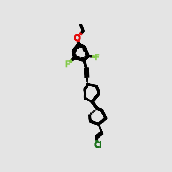 CCOc1cc(F)c(C#C[C@H]2CC[C@H]([C@H]3CC[C@H](C=CCl)CC3)CC2)c(F)c1